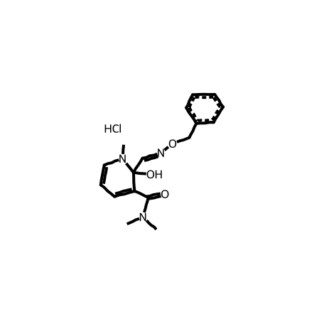 CN(C)C(=O)C1=CC=CN(C)C1(O)C=NOCc1ccccc1.Cl